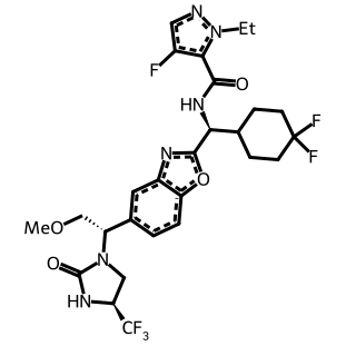 CCn1ncc(F)c1C(=O)N[C@H](c1nc2cc([C@@H](COC)N3C[C@@H](C(F)(F)F)NC3=O)ccc2o1)C1CCC(F)(F)CC1